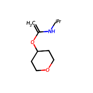 C=C(NC(C)C)OC1CCOCC1